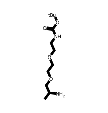 CC(N)COCCOCCNC(=O)OC(C)(C)C